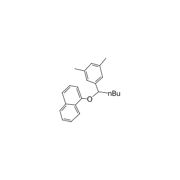 C[CH]CCC(Oc1cccc2ccccc12)c1cc(C)cc(C)c1